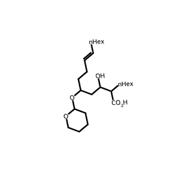 CCCCCCC=CCCC(CC(O)C(CCCCCC)C(=O)O)OC1CCCCO1